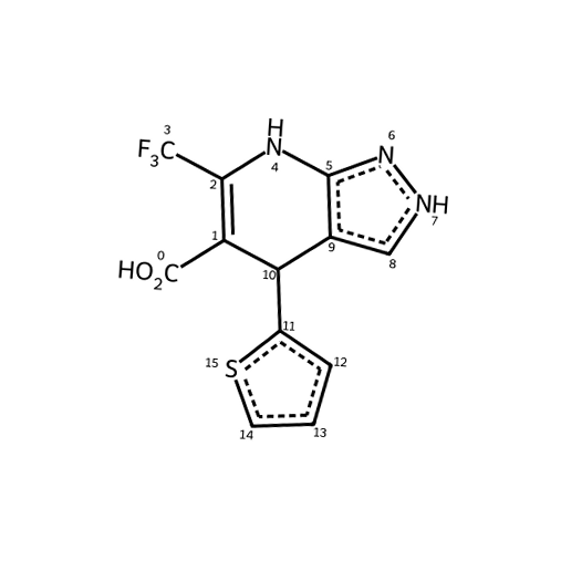 O=C(O)C1=C(C(F)(F)F)Nc2n[nH]cc2C1c1cccs1